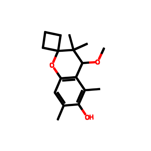 COC1c2c(cc(C)c(O)c2C)OC2(CCC2)C1(C)C